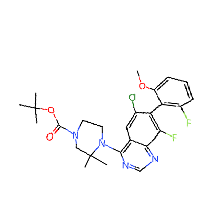 COc1cccc(F)c1-c1c(Cl)cc2c(N3CCN(C(=O)OC(C)(C)C)CC3(C)C)ncnc2c1F